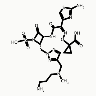 CN(CCCN)Cc1cnn(C[C@H]2[C@H](NC(=O)C(=NOC3(C(=O)O)CC3)c3csc(N)n3)C(=O)N2S(=O)(=O)O)n1